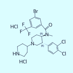 CN(C(=O)c1cc(Br)cc(C(F)(F)F)c1)[C@@H]1CCN(C2CCNCC2)C[C@H]1c1ccc(Cl)c(Cl)c1.Cl.Cl